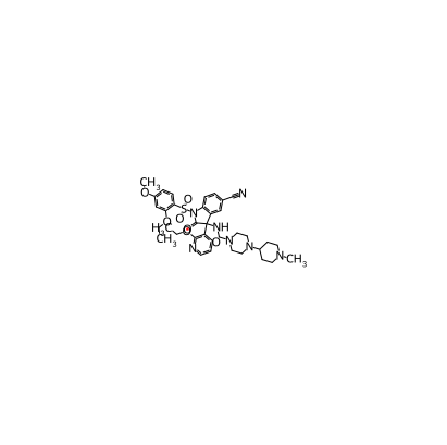 CCOc1cc(OC)ccc1S(=O)(=O)N1C(=O)C(NC(=O)N2CCN(C3CCN(C)CC3)CC2)(c2cccnc2OCC)c2cc(C#N)ccc21